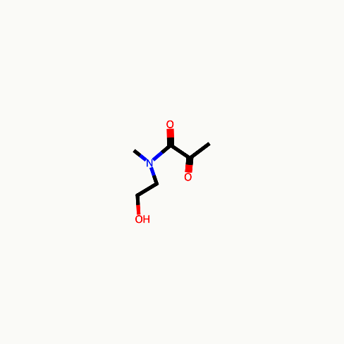 CC(=O)C(=O)N(C)CCO